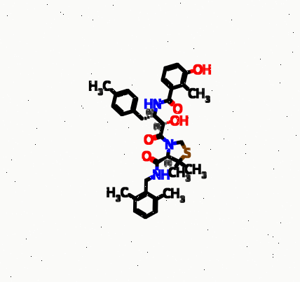 Cc1ccc(C[C@H](NC(=O)c2cccc(O)c2C)[C@H](O)C(=O)N2CSC(C)(C)[C@H]2C(=O)NCc2c(C)cccc2C)cc1